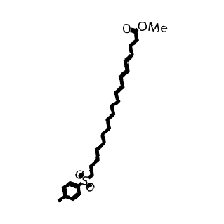 COC(=O)CCCCCCCCCCCCCCCCCCCS(=O)(=O)c1ccc(C)cc1